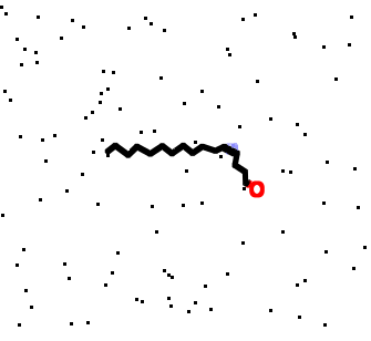 CCCCCCCCCCC/C=C\CCC=O